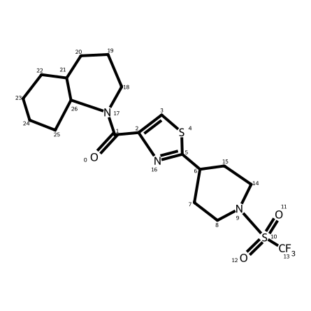 O=C(c1csc(C2CCN(S(=O)(=O)C(F)(F)F)CC2)n1)N1CCCC2CCCCC21